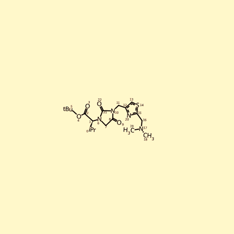 CC(C)[C@@H](C(=O)OC(C)(C)C)N1CC(=O)N(Cc2csc(CN(C)C)n2)C1=O